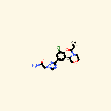 C=CC(=O)N1CCOC[C@H]1c1cc(Cl)cc(-c2ncn(CC(N)=O)n2)c1